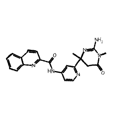 CN1C(=O)CC(C)(c2cc(NC(=O)c3ccc4ccccc4n3)ccn2)N=C1N